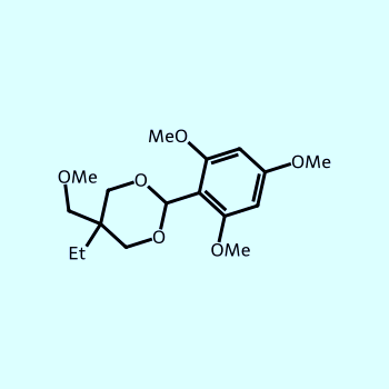 CCC1(COC)COC(c2c(OC)cc(OC)cc2OC)OC1